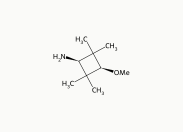 CO[C@H]1C(C)(C)[C@@H](N)C1(C)C